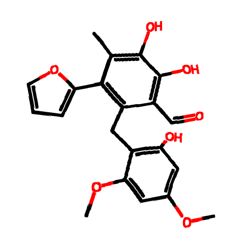 COc1cc(O)c(Cc2c(C=O)c(O)c(O)c(C)c2-c2ccco2)c(OC)c1